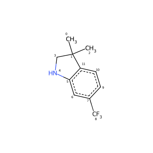 CC1(C)CNc2cc(C(F)(F)F)ccc21